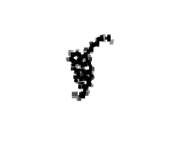 CCCCCOC(=O)C1=C(C(=O)N(C(C)=O)c2c(F)sc(CC(=O)OC)c2Cl)CCCC1